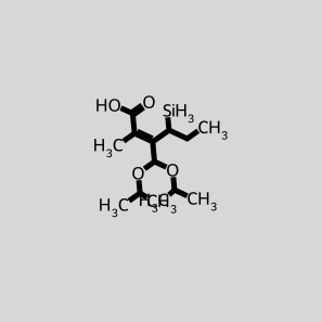 CCC([SiH3])C(=C(C)C(=O)O)C(OC(C)C)OC(C)C